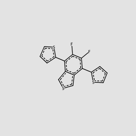 Fc1c(F)c(-c2cccs2)c2cscc2c1-c1cccs1